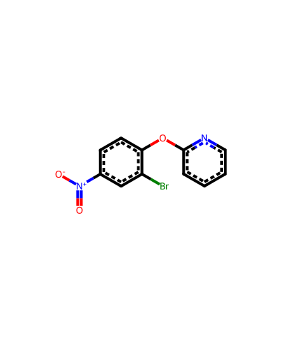 O=[N+]([O-])c1ccc(Oc2ccccn2)c(Br)c1